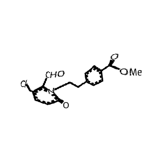 COC(=O)c1ccc(CCn2c(C=O)c(Cl)ccc2=O)cc1